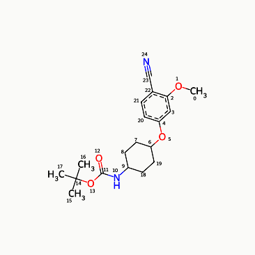 COc1cc(OC2CCC(NC(=O)OC(C)(C)C)CC2)ccc1C#N